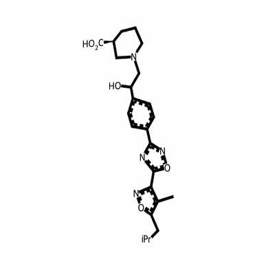 Cc1c(-c2nc(-c3ccc(C(O)CN4CCC[C@H](C(=O)O)C4)cc3)no2)noc1CC(C)C